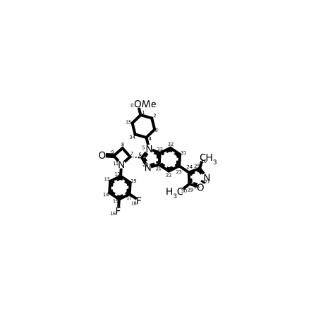 COC1CCC(n2c([C@H]3CC(=O)N3c3ccc(F)c(F)c3)nc3cc(-c4c(C)noc4C)ccc32)CC1